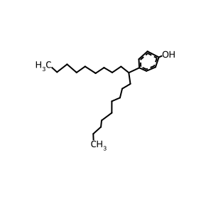 CCCCCCCCCC(CCCCCCCCC)c1ccc(O)cc1